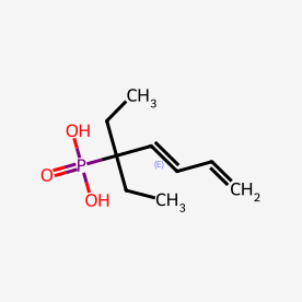 C=C/C=C/C(CC)(CC)P(=O)(O)O